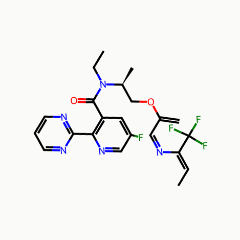 C=C(/C=N\C(=C/C)C(F)(F)F)OC[C@H](C)N(CC)C(=O)c1cc(F)cnc1-c1ncccn1